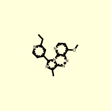 CCc1cc(-c2nc(C)c3nnc4c(OC)ccnc4n23)ccn1